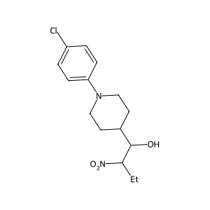 CCC(C(O)C1CCN(c2ccc(Cl)cc2)CC1)[N+](=O)[O-]